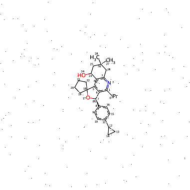 CC(C)c1nc2c(c3c1[C@@H](c1ccc(C4CC4)cc1)OC31CCCC1)C(O)CC(C)(C)C2